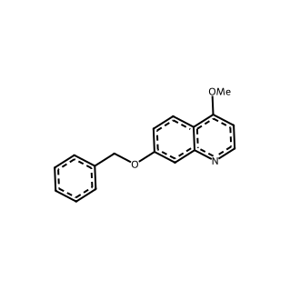 COc1ccnc2cc(OCc3ccccc3)ccc12